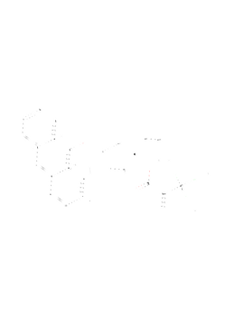 C=C(C(=O)OC(CC)(CC)CCOc1c2ccccc2cc2ccccc12)C(F)(F)F